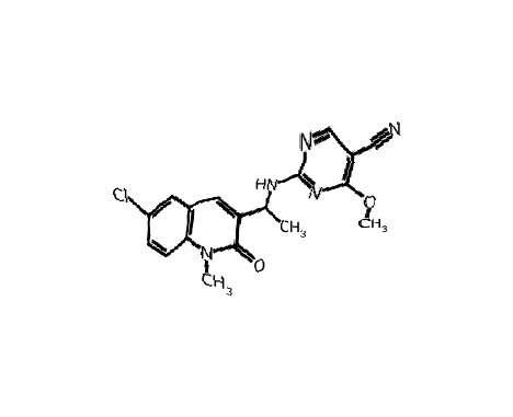 COc1nc(NC(C)c2cc3cc(Cl)ccc3n(C)c2=O)ncc1C#N